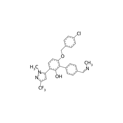 C/N=C\c1ccc(-c2c(OCc3ccc(Cl)cc3)ccc(-c3cc(C(F)(F)F)nn3C)c2O)cc1